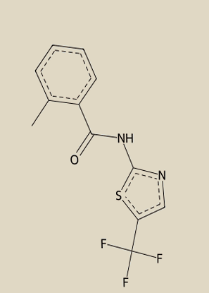 Cc1ccccc1C(=O)Nc1ncc(C(F)(F)F)s1